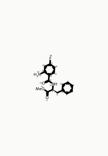 COC(=O)[C@H](Cc1ccccc1)NC(=O)c1ccc(F)cc1N